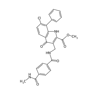 CNC(=O)c1ccc(C(=O)NCc2c(C(=O)OC)[nH]c3c(-c4ccccc4)c(Cl)ccc3c2=O)cc1